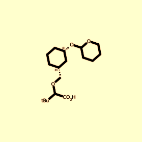 CC(C)(C)C(OC[C@@H]1CCC[C@H](OC2CCCCO2)C1)C(=O)O